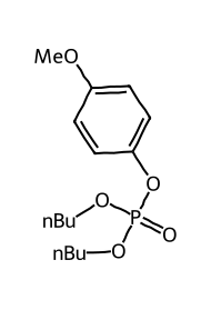 CCCCOP(=O)(OCCCC)Oc1ccc(OC)cc1